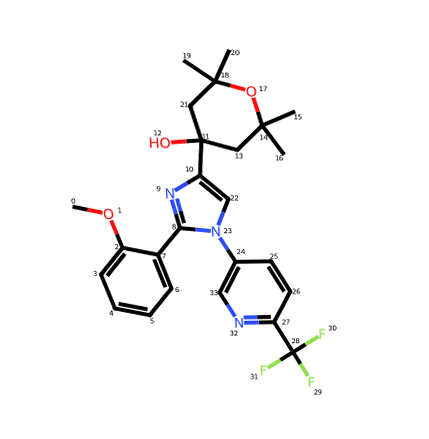 COc1ccccc1-c1nc(C2(O)CC(C)(C)OC(C)(C)C2)cn1-c1ccc(C(F)(F)F)nc1